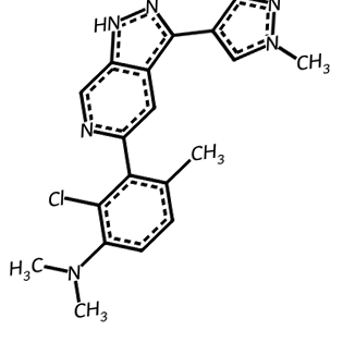 Cc1ccc(N(C)C)c(Cl)c1-c1cc2c(-c3cnn(C)c3)n[nH]c2cn1